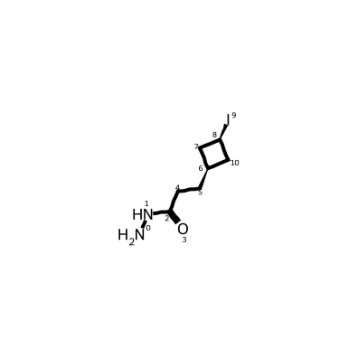 NNC(=O)CC[C@H]1C[C@@H](I)C1